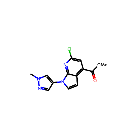 COC(=O)c1cc(Cl)nc2c1ccn2-c1cnn(C)c1